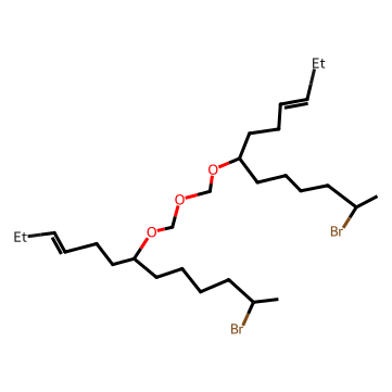 CCC=CCCC(CCCCC(C)Br)OCOCOC(CCC=CCC)CCCCC(C)Br